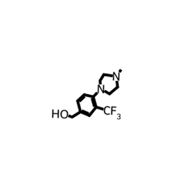 CN1CCN(c2ccc(CO)cc2C(F)(F)F)CC1